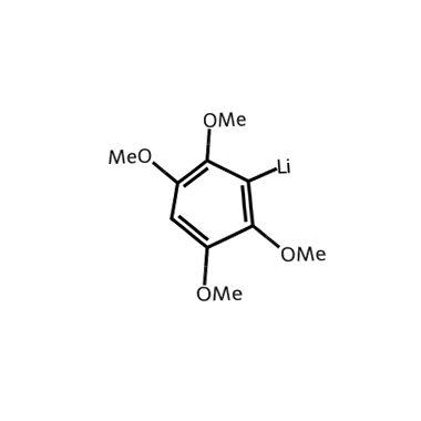 [Li][c]1c(OC)c(OC)cc(OC)c1OC